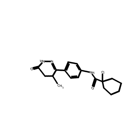 CC1CC(=O)NN=C1c1ccc(NC(=O)C2(Cl)CCCCC2)cc1